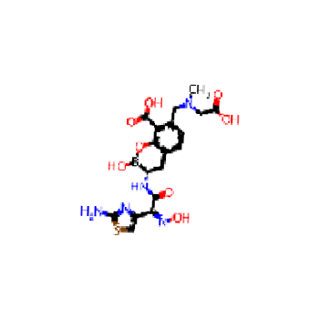 CN(CC(=O)O)Cc1ccc2c(c1C(=O)O)OB(O)[C@@H](NC(=O)/C(=N\O)c1csc(N)n1)C2